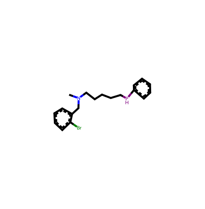 CN(CCCCCPc1ccccc1)Cc1ccccc1Br